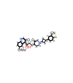 COc1ccc2nccc([C@@H](O)CC[C@@H]3CCN(C4CC(c5ccc(F)c(C#N)c5)C4)C[C@@H]3C(=O)O)c2c1